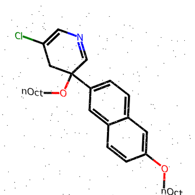 CCCCCCCCOc1ccc2cc(C3(OCCCCCCCC)C=NC=C(Cl)C3)ccc2c1